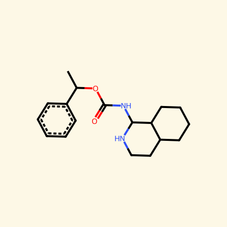 CC(OC(=O)NC1NCCC2CCCCC21)c1ccccc1